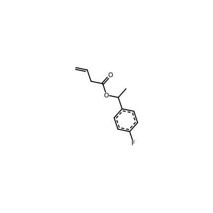 C=CCC(=O)OC(C)c1ccc(F)cc1